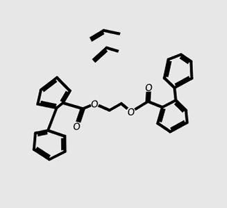 C=CC.C=CC.O=C(OCCOC(=O)c1ccccc1-c1ccccc1)c1ccccc1-c1ccccc1